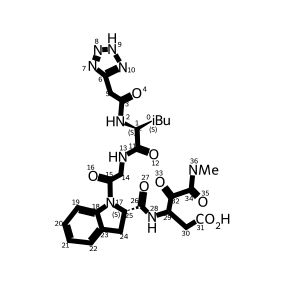 CC[C@H](C)[C@H](NC(=O)Cc1nn[nH]n1)C(=O)NCC(=O)N1c2ccccc2C[C@H]1C(=O)NC(CC(=O)O)C(=O)C(=O)NC